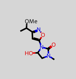 COC(C)c1cc(N2C(=O)N(C)CC2O)on1